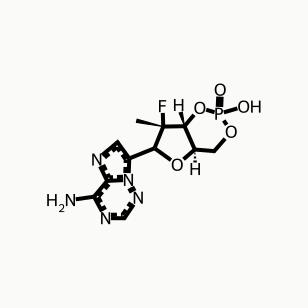 C[C@]1(F)C(c2cnc3c(N)ncnn23)O[C@@H]2COP(=O)(O)O[C@H]21